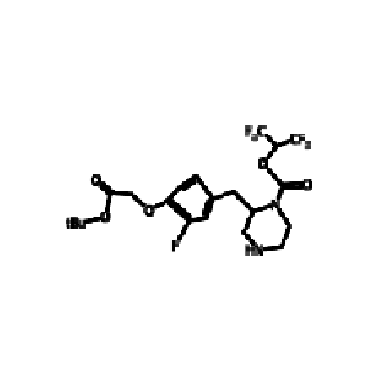 CC(C)(C)OC(=O)COc1ccc(CC2CNCCN2C(=O)OC(C(F)(F)F)C(F)(F)F)cc1F